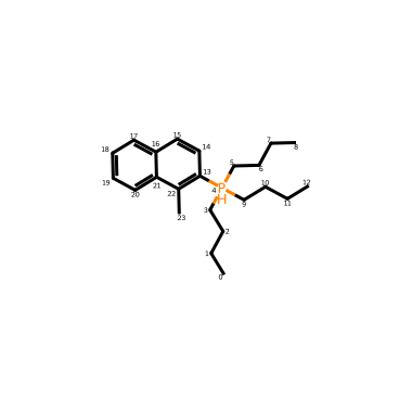 CCCC[PH](CCCC)(CCCC)c1ccc2ccccc2c1C